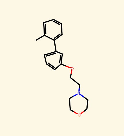 Cc1ccccc1-c1cccc(OCCN2CCOCC2)c1